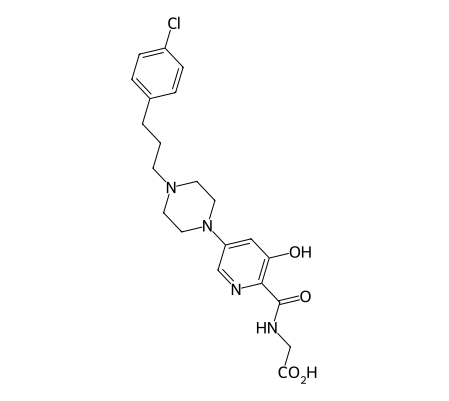 O=C(O)CNC(=O)c1ncc(N2CCN(CCCc3ccc(Cl)cc3)CC2)cc1O